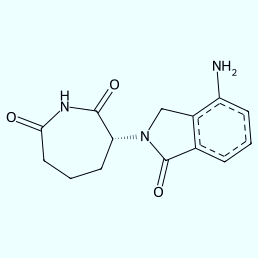 Nc1cccc2c1CN([C@@H]1CCCC(=O)NC1=O)C2=O